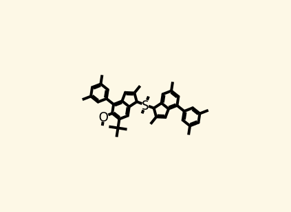 COc1c(C(C)(C)C)cc2c(c1-c1cc(C)cc(C)c1)C=C(C)C2S(C)(C)C1C(C)=Cc2c(-c3cc(C)cc(C)c3)cc(C)cc21